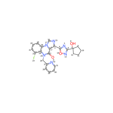 O=c1c2c(-c3nc(C4(O)CCCC4)no3)ncn2c2cccc(F)c2n1Cc1ccccn1